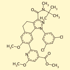 COC(=O)c1cc(OC)nc(-c2cc3c(cc2OC)CCc2c(C(=O)N(C)C(C)(C)C)nn(-c4cc(Cl)cc(Cl)c4)c2-3)c1